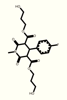 CN1C(=O)C(C(=O)OCCCO)C(c2ccc(F)cc2)C(C(=O)OCCCO)C1=O